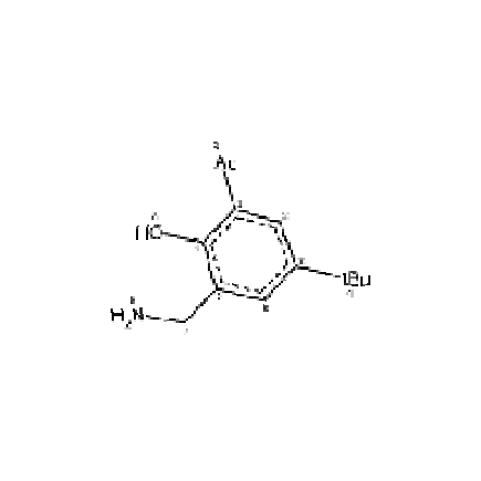 CC(=O)c1cc(C(C)(C)C)cc(CN)c1O